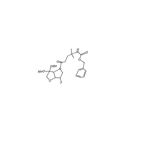 COC1(OC)COC2C(F)CN(C(=O)CCC(C)(C)NC(=O)OCc3ccccc3)C21